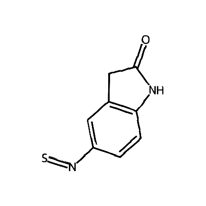 O=C1Cc2cc(N=S)ccc2N1